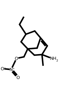 CCC1CC2=CC(C)(N)CC(CO[N+](=O)[O-])(C2)C1